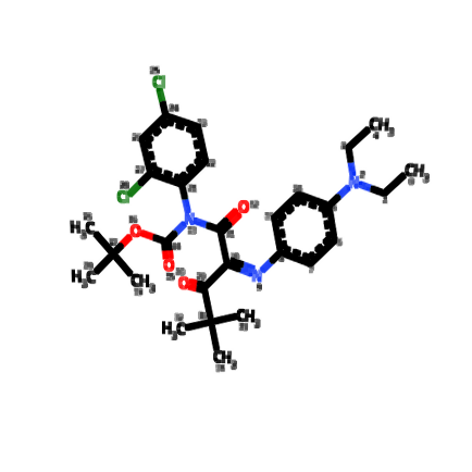 CCN(CC)c1ccc(/N=C(\C(=O)N(C(=O)OC(C)(C)C)c2ccc(Cl)cc2Cl)C(=O)C(C)(C)C)cc1